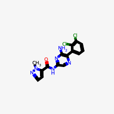 Cn1nccc1C(=O)Nc1cnc(-c2cccc(Cl)c2Cl)c(N)n1